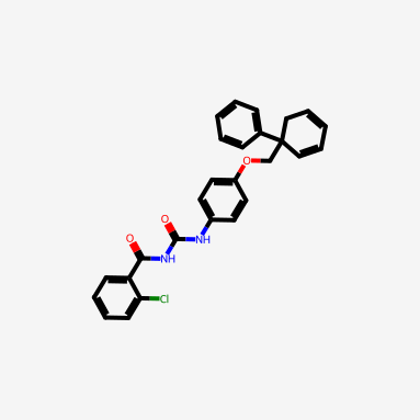 O=C(NC(=O)c1ccccc1Cl)Nc1ccc(OCC2(c3ccccc3)C=CC=CC2)cc1